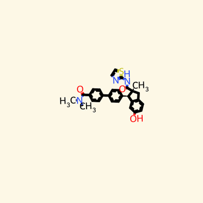 CN(C)C(=O)c1ccc(-c2ccc([C@@H]3c4cc(O)ccc4C[C@]3(C)C(=O)Nc3nccs3)cc2)cc1